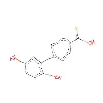 OC(=S)c1ccc(-c2cc(O)ccc2O)cc1